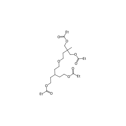 CCC(=O)OCCC(CCOCCC(C)(COC(=O)CC)COC(=O)CC)CCOC(=O)CC